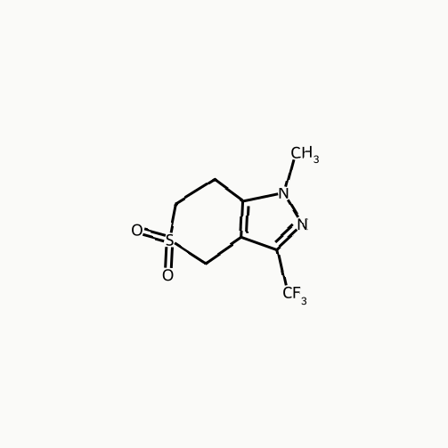 Cn1nc(C(F)(F)F)c2c1CCS(=O)(=O)C2